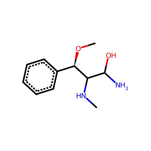 CNC(C(N)O)[C@H](OC)c1ccccc1